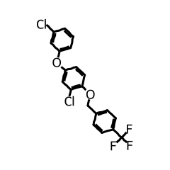 FC(F)(F)c1ccc(COc2ccc(Oc3cccc(Cl)c3)cc2Cl)cc1